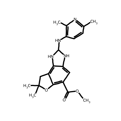 COC(=O)c1cc2c(c3c1OC(C)(C)C3)NC(Nc1ccc(C)nc1C)N2